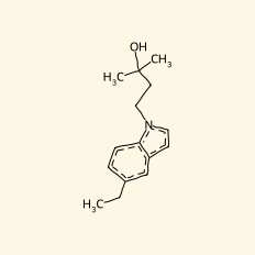 CCc1ccc2c(ccn2CCC(C)(C)O)c1